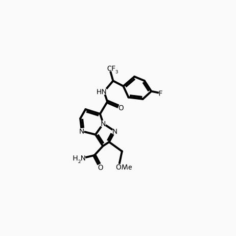 COCc1nn2c(C(=O)NC(c3ccc(F)cc3)C(F)(F)F)ccnc2c1C(N)=O